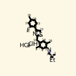 CCN(C)/C=N/c1cc(C)c(Cc2nc(-c3ccc(C)cc3F)cs2)cc1C.Cl.Cl